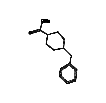 COC(=O)C1CCC(Cc2ccccc2)CC1